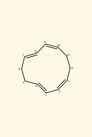 [CH]1/C=C\C=C\CC/C=C/C=C\C1